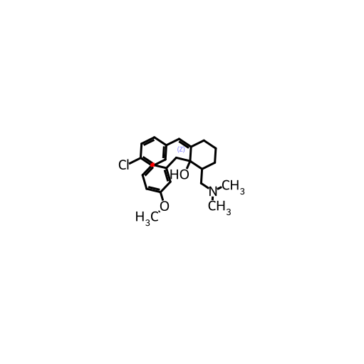 COc1cccc(CC2(O)/C(=C\c3ccc(Cl)cc3)CCCC2CN(C)C)c1